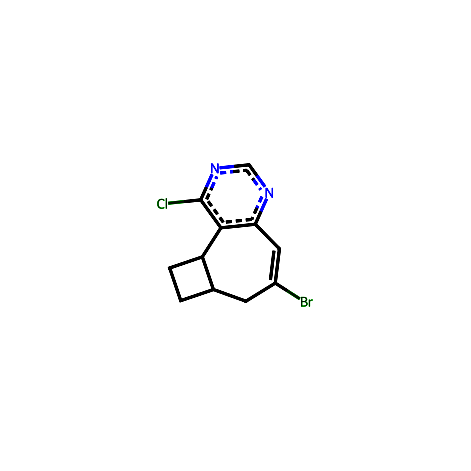 Clc1ncnc2c1C1CCC1CC(Br)=C2